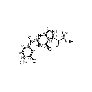 CC(C(=O)O)n1ncc2nc(N(C)c3ccc(Cl)c(Cl)c3)[nH]c(=O)c21